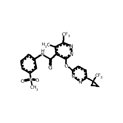 Cc1c(C(F)(F)F)nnc(Oc2ccc(C3(C(F)(F)F)CC3)nn2)c1C(=O)Nc1cccc(S(C)(=O)=O)c1